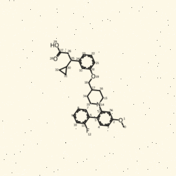 COc1ccc(-c2ccccc2F)c(N2CCC(COc3cccc(C(CC(=O)O)C4CC4)c3)CC2)c1